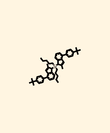 CCCCC[Si](CCCCC)(C1C(C)=Cc2c(-c3ccc(C(C)(C)C)cc3)cccc21)C1C(C)=Cc2c(-c3ccc(C(C)(C)C)cc3)cccc21